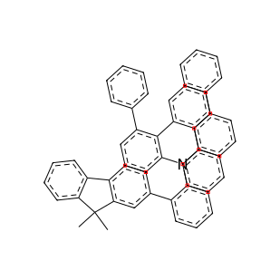 CC1(C)c2ccccc2-c2ccc(-c3ccccc3N(c3cccc(-c4ccccc4)c3)c3cccc(-c4ccccc4)c3-c3ccccc3-c3ccccc3)cc21